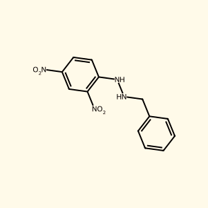 O=[N+]([O-])c1ccc(NNCc2ccccc2)c([N+](=O)[O-])c1